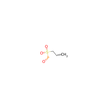 C=CCS(=O)(=O)P=O